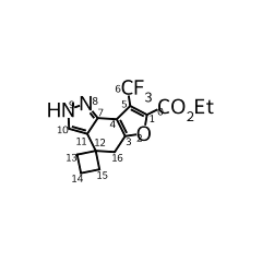 CCOC(=O)c1oc2c(c1C(F)(F)F)-c1n[nH]cc1C1(CCC1)C2